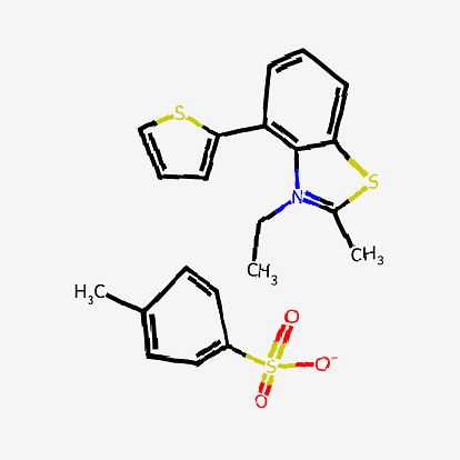 CC[n+]1c(C)sc2cccc(-c3cccs3)c21.Cc1ccc(S(=O)(=O)[O-])cc1